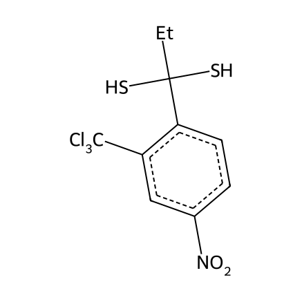 CCC(S)(S)c1ccc([N+](=O)[O-])cc1C(Cl)(Cl)Cl